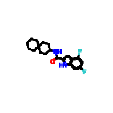 O=C(NC1CCC2(CCCCC2)CC1)c1cc2c(F)cc(F)cc2[nH]1